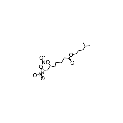 CC(C)CCCOC(=O)CCCCC(CO[N+](=O)[O-])O[N+](=O)[O-]